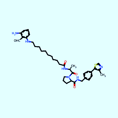 Cc1ncsc1-c1ccc(CNC(=O)C2CCCN2C(=O)[C@H](C)NC(=O)CCCCCCCCCCNc2cccc(N)c2C=O)cc1